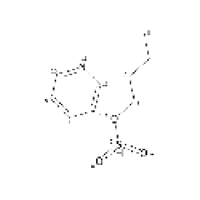 CCCCO[SH](=O)=O.c1ccncc1